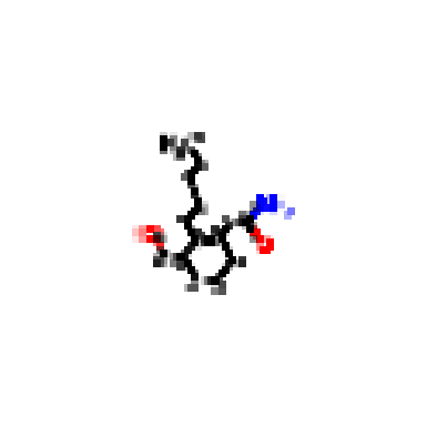 CCCCCC1=C(CC(N)=O)CCCC1CO